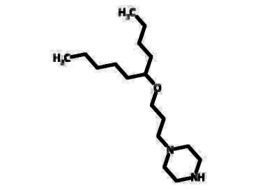 CCCCCC(CCCC)OCCCN1CCNCC1